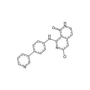 O=c1[nH]ccc2cc(Cl)nc(Nc3ccc(-c4cccnc4)cc3)c12